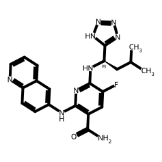 CC(C)C[C@@H](Nc1nc(Nc2ccc3ncccc3c2)c(C(N)=O)cc1F)c1nnn[nH]1